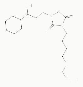 O=C(O)CSCCCCN1C(=O)CN(CCC(O)C2CCCCC2)C1=O